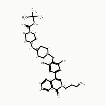 CCCCn1cc(-c2cc(F)c(CN3CCC(OC4CCN(C(=O)OC(C)(C)C)CC4)CC3)c(F)c2)c2ccncc2c1=O